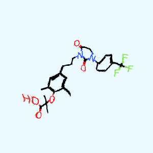 Cc1cc(CCCN2C(=O)CN(c3ccc(C(F)(F)F)cc3)C2=O)cc(C)c1OC(C)(C)C(=O)O